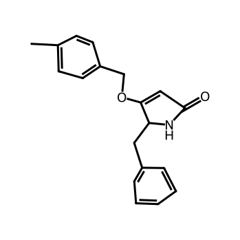 Cc1ccc(COC2=CC(=O)NC2Cc2ccccc2)cc1